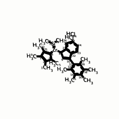 CC1=C(C)C(C)[C]([Zr]([CH]2C=C(c3c(C)c(C)c(C)c(C)c3C)c3ccccc32)=[Si](C)C)=C1C.Cl.Cl